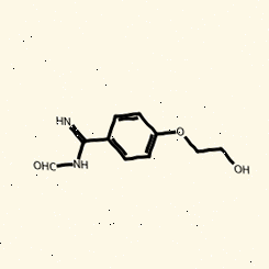 N=C(NC=O)c1ccc(OCCO)cc1